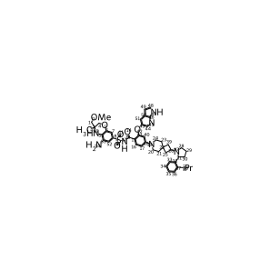 COCC1(C)COc2cc(S(=O)(=O)NC(=O)c3ccc(N4CCC5(CC4)CC(N4CCC[C@H]4c4ccccc4C(C)C)C5)cc3Oc3cnc4[nH]ccc4c3)cc(N)c2N1